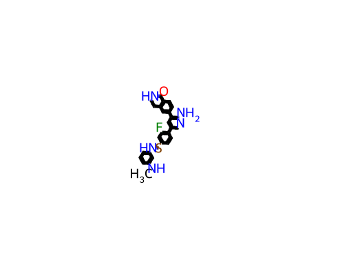 CNc1cccc(NSc2ccc(-c3cnc(N)c(-c4ccc5c(c4)CCNC5=O)c3)c(F)c2)c1